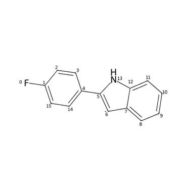 Fc1ccc(-c2[c]c3ccccc3[nH]2)cc1